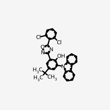 CC(C)(C)c1cc(-c2noc(-c3c(Cl)cccc3Cl)n2)c(O)c(-n2c3ccccc3c3ccccc32)c1